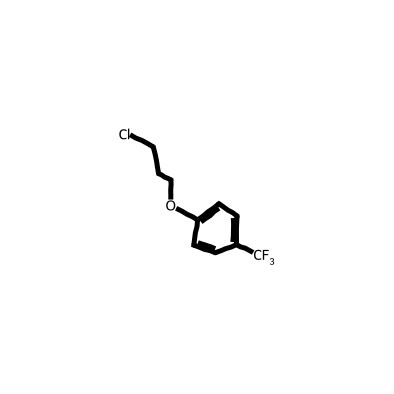 FC(F)(F)c1ccc(OCCCCl)cc1